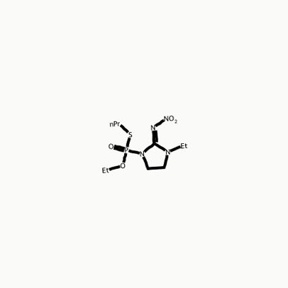 CCCSP(=O)(OCC)N1CCN(CC)C1=N[N+](=O)[O-]